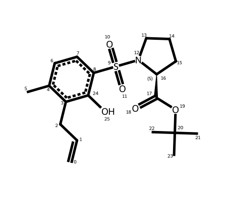 C=CCc1c(C)ccc(S(=O)(=O)N2CCC[C@H]2C(=O)OC(C)(C)C)c1O